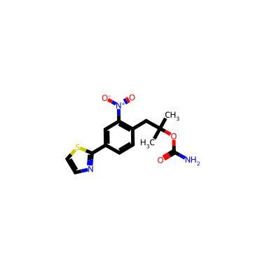 CC(C)(Cc1ccc(-c2nccs2)cc1[N+](=O)[O-])OC(N)=O